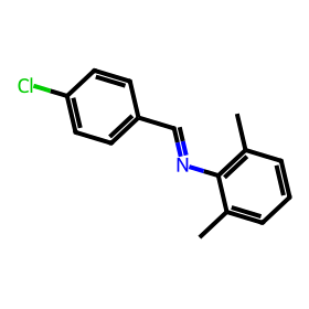 Cc1cccc(C)c1N=Cc1ccc(Cl)cc1